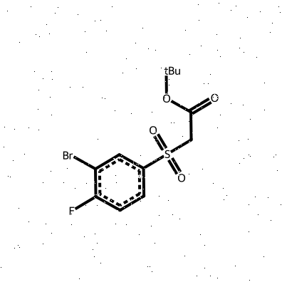 CC(C)(C)OC(=O)CS(=O)(=O)c1ccc(F)c(Br)c1